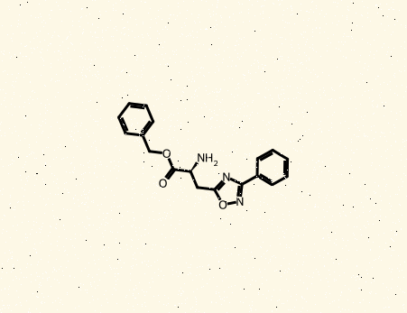 N[C@@H](Cc1nc(-c2ccccc2)no1)C(=O)OCc1ccccc1